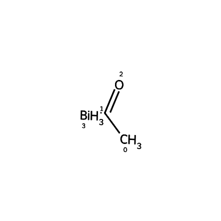 C[C]=O.[BiH3]